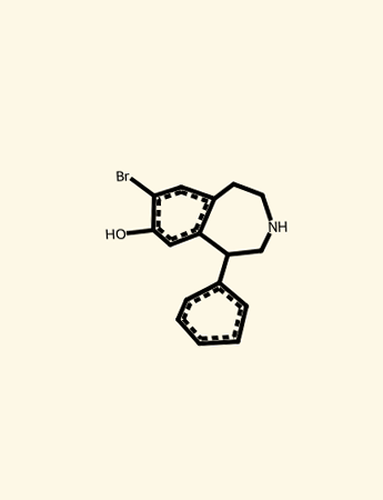 Oc1cc2c(cc1Br)CCNCC2c1ccccc1